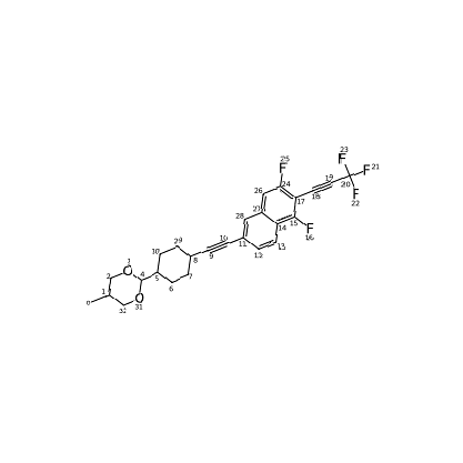 CC1COC(C2CCC(C#Cc3ccc4c(F)c(C#CC(F)(F)F)c(F)cc4c3)CC2)OC1